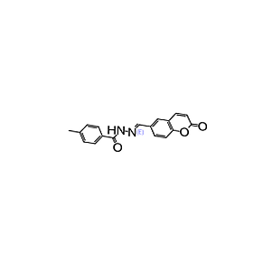 Cc1ccc(C(=O)N/N=C/c2ccc3oc(=O)ccc3c2)cc1